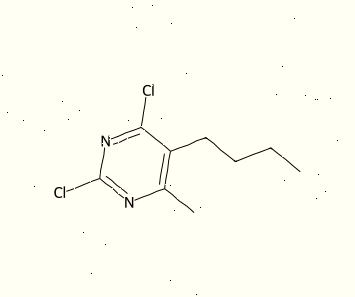 CCCCc1c(C)nc(Cl)nc1Cl